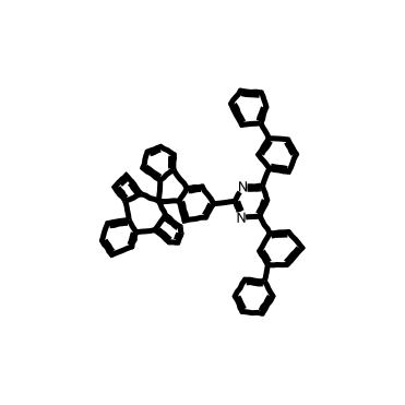 c1ccc(-c2cccc(-c3cc(-c4cccc(-c5ccccc5)c4)nc(-c4ccc5c(c4)-c4ccccc4C54c5ccccc5-c5ccccc5-c5ccccc54)n3)c2)cc1